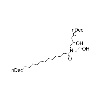 CCCCCCCCCCCCCCCCCCCCCC(=O)N(CCO)CC(O)COCCCCCCCCCC